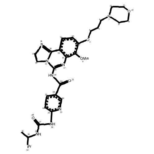 COc1c(OCCCN2CCOCC2)ccc2c1N=C(NC(=O)c1ccc(NC(=O)NC(C)C(C)C)nc1)N1CCN=C21